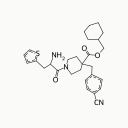 N#Cc1ccc(CC2(C(=O)OCC3CCCCC3)CCN(C(=O)C(N)Cc3cccs3)CC2)cc1